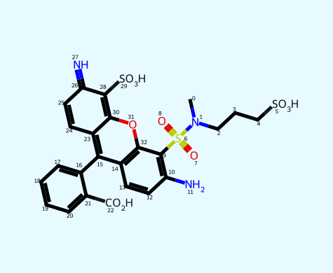 CN(CCCS(=O)(=O)O)S(=O)(=O)c1c(N)ccc2c(-c3ccccc3C(=O)O)c3ccc(=N)c(S(=O)(=O)O)c-3oc12